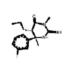 CCC[C@@H]1C(=O)N(C)C(=N)N[C@]1(C)c1cccc(I)c1